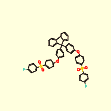 O=S(=O)(c1ccc(F)cc1)c1ccc(Oc2ccc(C3(c4ccc(Oc5ccc(S(=O)(=O)c6ccc(F)cc6)cc5)cc4)c4ccccc4-c4ccccc43)cc2)cc1